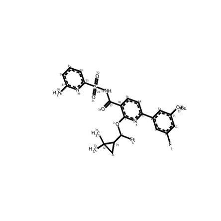 CCC(Oc1nc(-c2cc(F)cc(OCC(C)C)c2)ccc1C(=O)NS(=O)(=O)c1cccc(N)n1)C1CC1(C)C